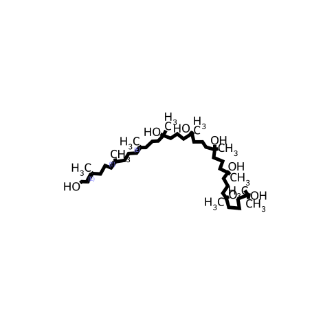 C/C(=C\CO)CC/C=C(\C)CC/C=C(\C)CCCC(C)(O)CCCC(C)(O)CCCC(C)(O)CCCC(C)(O)CCCC1(C)CCC(C(C)(C)O)O1